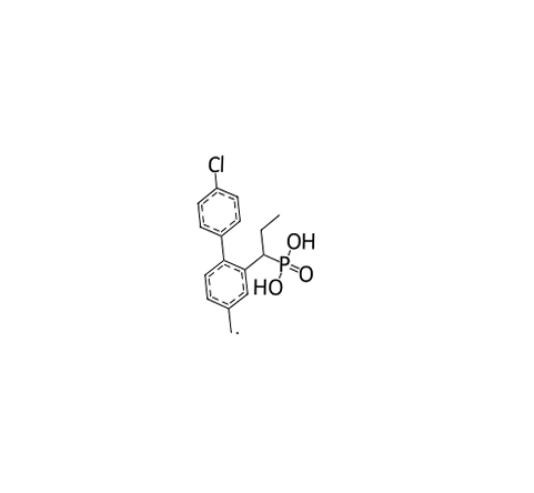 [CH2]c1ccc(-c2ccc(Cl)cc2)c(C(CC)P(=O)(O)O)c1